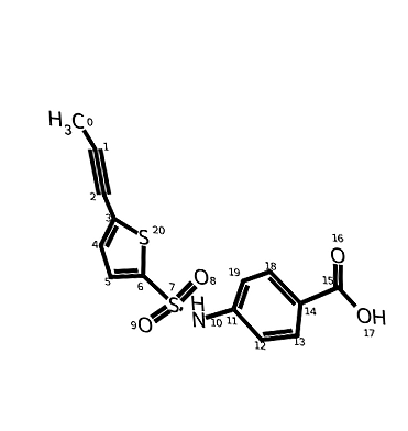 CC#Cc1ccc(S(=O)(=O)Nc2ccc(C(=O)O)cc2)s1